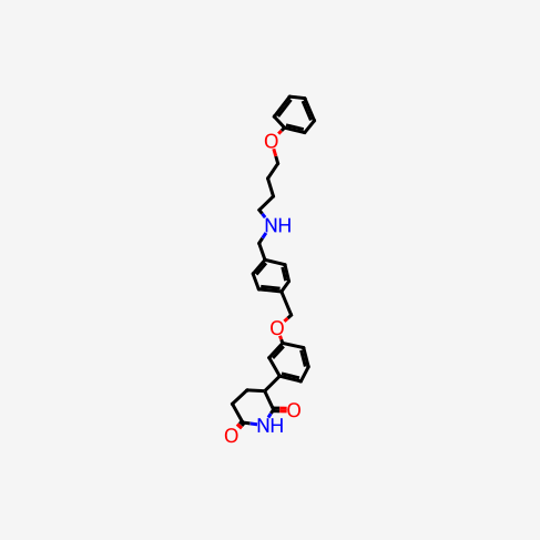 O=C1CCC(c2cccc(OCc3ccc(CNCCCCOc4ccccc4)cc3)c2)C(=O)N1